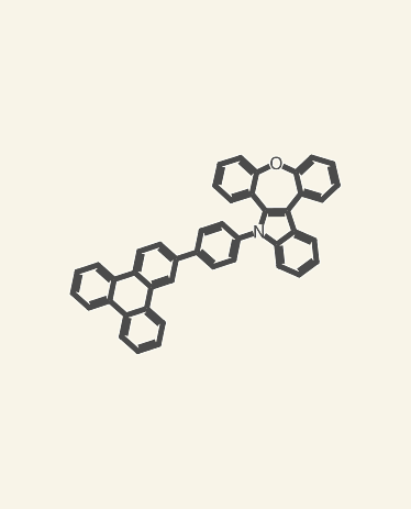 c1ccc2c(c1)Oc1ccccc1-c1c-2c2ccccc2n1-c1ccc(-c2ccc3c4ccccc4c4ccccc4c3c2)cc1